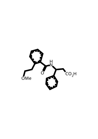 COCCc1ccccc1C(=O)NC(CC(=O)O)c1ccccc1